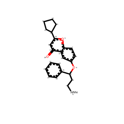 CNCCC(Oc1ccc2oc(C3CCCC3)cc(=O)c2c1)c1ccccc1